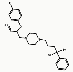 C=CC(CN1CCN(CCCC(C#N)(c2ccccc2)C(C)C)CC1)Oc1ccc(F)cc1